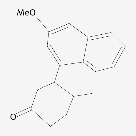 COc1cc(C2CC(=O)CCC2C)c2ccccc2c1